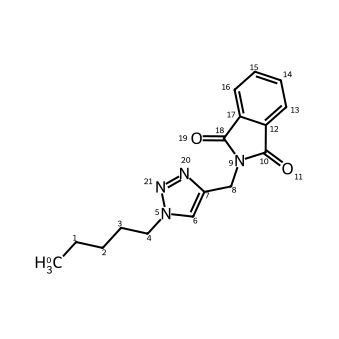 CCCCCn1cc(CN2C(=O)c3ccccc3C2=O)nn1